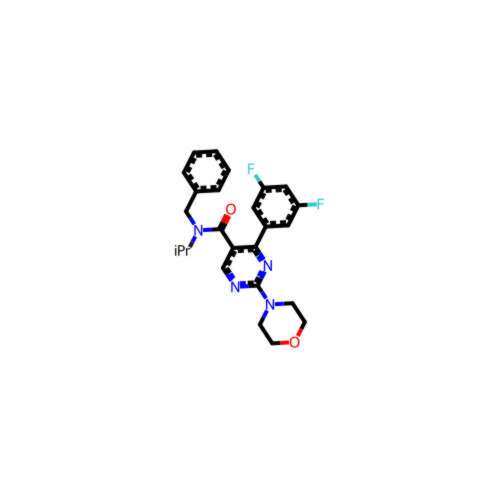 CC(C)N(Cc1ccccc1)C(=O)c1cnc(N2CCOCC2)nc1-c1cc(F)cc(F)c1